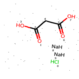 Cl.O=C(O)CC(=O)O.[NaH].[NaH]